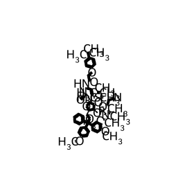 COc1ccc(C(OC[C@H]2O[C@@H](n3ccc(NC(=O)COc4ccc(C(C)(C)C)cc4)nc3=O)C(O[Si](C)(C)C(C)(C)C)[C@H]2OP(OCCC#N)N(C(C)C)C(C)C)(c2ccccc2)c2ccc(OC)cc2)cc1